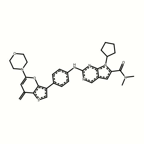 C=C1C=C(N2CCOCC2)Oc2c(-c3ccc(Nc4ncc5cc(C(=O)N(C)C)n(C6CCCC6)c5n4)cc3)csc21